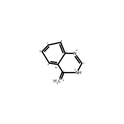 C=C1NC=Nc2ccccc21